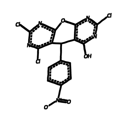 O=[N+]([O-])c1ccc(C2c3c(O)nc(Cl)nc3Oc3nc(Cl)nc(Cl)c32)cc1